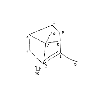 CC1=C2CC(CC1)C2(C)C.[Li]